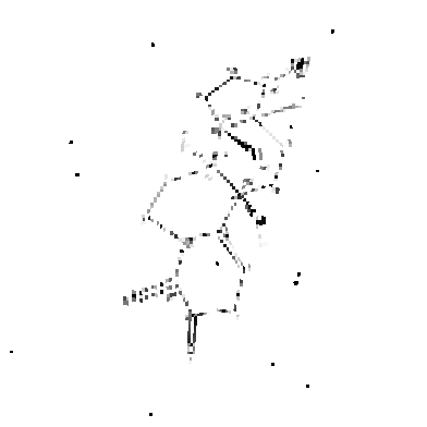 C[C@]12CC[C@@H]3C4=CCC(=O)C(=O)C4CC[C@H]3[C@@H]1CC[C@@H]2O